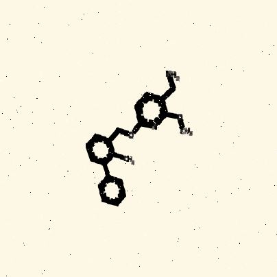 COc1nc(OCc2cccc(-c3ccccc3)c2C)ccc1CN